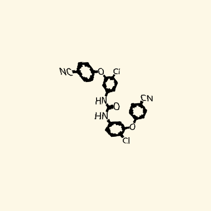 N#Cc1ccc(Oc2cc(NC(=O)Nc3ccc(Cl)c(Oc4ccc(C#N)cc4)c3)ccc2Cl)cc1